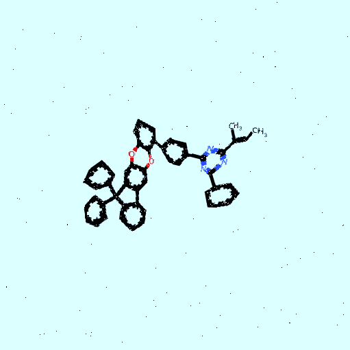 C/C=C(\C)c1nc(-c2ccccc2)nc(-c2ccc(-c3cccc4c3Oc3cc5c(cc3O4)C(c3ccccc3)(c3ccccc3)c3ccccc3-5)cc2)n1